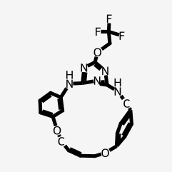 FC(F)(F)COc1nc2nc(n1)Nc1cccc(c1)OCC=CCOc1ccc(cc1)CN2